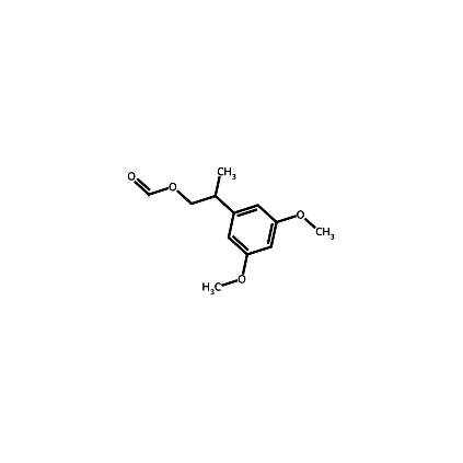 COc1cc(OC)cc(C(C)CO[C]=O)c1